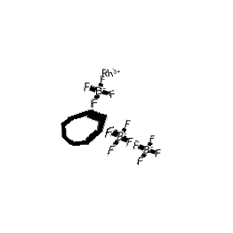 C1=CCCCCC=C1.F[B-](F)(F)F.F[B-](F)(F)F.F[B-](F)(F)F.[Rh+3]